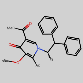 CCCCOc1c(C(C)=O)n([C@H](CC)C(c2ccccc2)c2ccccc2)cc(C(=O)OC)c1=O